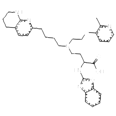 Cc1ncccc1OCCN(CCCCc1ccc2c(n1)NCCC2)CCC(Nc1nc2ccccc2o1)C(=O)O